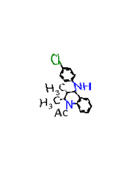 CC(=O)N1c2ccccc2C(Nc2ccc(Cl)cc2)[C@@H](C)[C@@H]1C